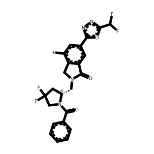 O=C1c2cc(-c3nnc(C(F)F)o3)cc(F)c2CN1C[C@H]1CC(F)(F)CN1C(=O)c1ccccc1